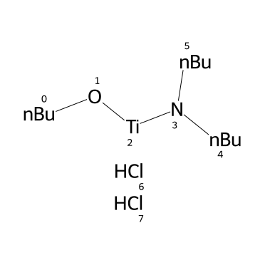 CCCC[O][Ti][N](CCCC)CCCC.Cl.Cl